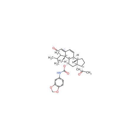 CC(=O)[C@H]1CC[C@H]2[C@@H]3C=C/C(=C/C=O)[C@@](C)(C(C)C(C)C)[C@@H]3[C@@H](OC(=O)Nc3ccc4c(c3)OCO4)C[C@]12C